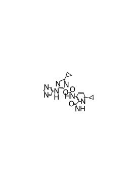 CNC(=O)c1nc(C2CC2)ccc1NC(=O)Oc1nc(C2CC2)cnc1Nc1cncnc1